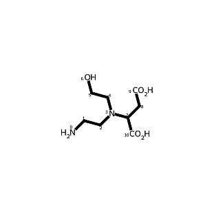 NCCN(CCO)C(CC(=O)O)C(=O)O